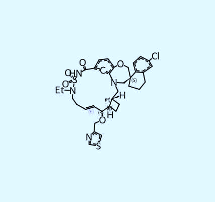 CCN1CC/C=C/[C@H](OCc2cscn2)[C@@H]2CC[C@H]2CN2C[C@@]3(CCCc4cc(Cl)ccc43)COc3ccc(cc32)C(=O)NS1(=O)=O